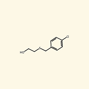 OCCSCc1ccc(Cl)cc1